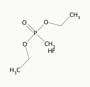 CCOP(C)(=O)OCC.F